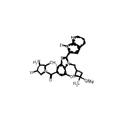 CCC1CN(C(=O)c2cc(OC)c3c(c2)nc(-c2cc4cccnc4n2CC)n3CC2CC(C)(OC)C2)C(C)C1N